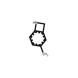 Cc1ccc2c(c1)CN2